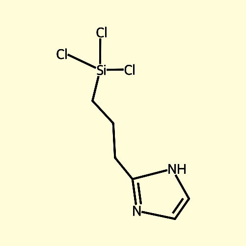 Cl[Si](Cl)(Cl)CCCc1ncc[nH]1